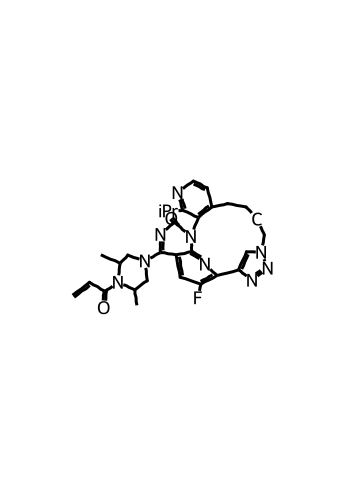 C=CC(=O)N1C(C)CN(c2nc(=O)n3c4nc(c(F)cc24)-c2cn(nn2)CCCCc2ccnc(C(C)C)c2-3)CC1C